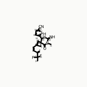 C=C(/C=C\C1=C[C@@]2(C1)C(=O)N(C)C(=N)N[C@]2(C)c1ccc(C#N)s1)C(C)(F)F